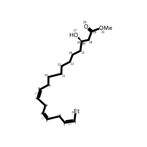 CC/C=C\C/C=C\C/C=C\CCCCCCC[C@@H](O)CC(=O)OC